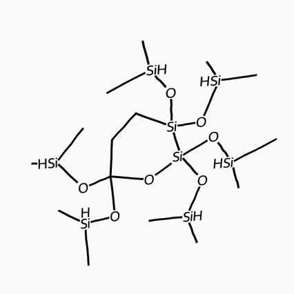 C[SiH](C)OC1(O[SiH](C)C)CC[Si](O[SiH](C)C)(O[SiH](C)C)[Si](O[SiH](C)C)(O[SiH](C)C)O1